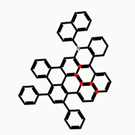 C1=CC(N(c2ccc3c(c2)c2ccccc2c2c(-c4ccccc4)cc(-c4ccccc4)c(-c4ccccc4)c32)c2cccc3ccccc23)=C(c2cccc3ccccc23)CC1